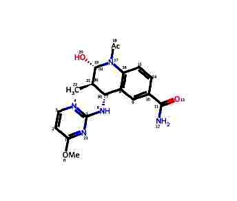 COc1ccnc(N[C@H]2c3cc(C(N)=O)ccc3N(C(C)=O)[C@@H](O)[C@@H]2C)n1